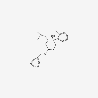 Cc1ccccc1C1(O)CCC(OCc2ccccc2)CC1CN(C)C